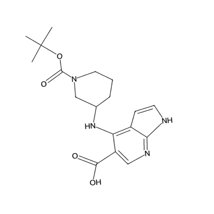 CC(C)(C)OC(=O)N1CCCC(Nc2c(C(=O)O)cnc3[nH]ccc23)C1